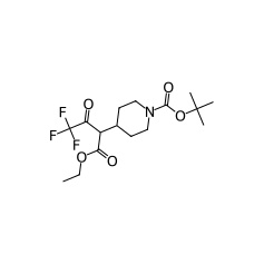 CCOC(=O)C(C(=O)C(F)(F)F)C1CCN(C(=O)OC(C)(C)C)CC1